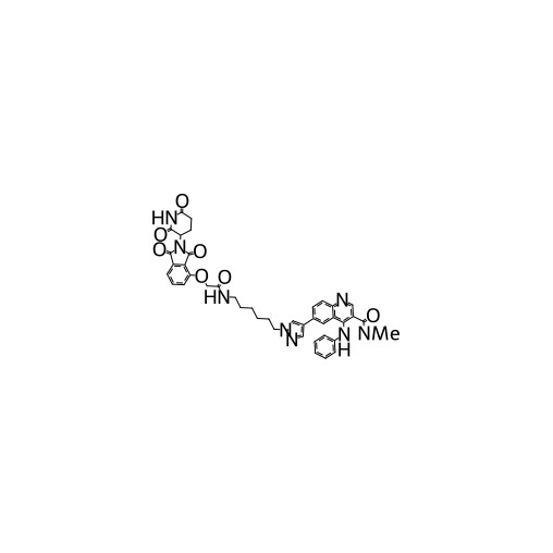 CNC(=O)c1cnc2ccc(-c3cnn(CCCCCCNC(=O)COc4cccc5c4C(=O)N(C4CCC(=O)NC4=O)C5=O)c3)cc2c1Nc1ccccc1